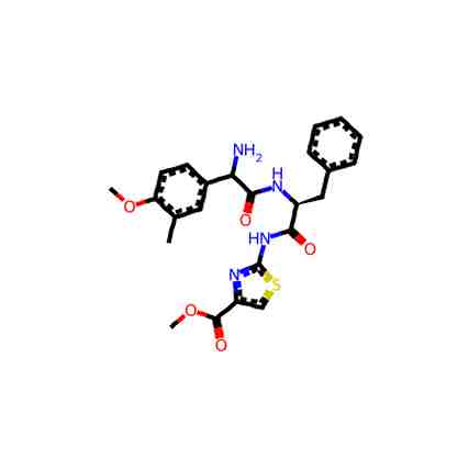 COC(=O)c1csc(NC(=O)[C@H](Cc2ccccc2)NC(=O)C(N)c2ccc(OC)c(C)c2)n1